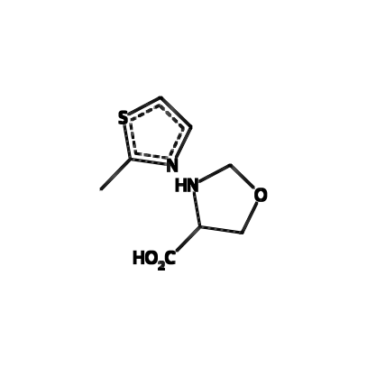 Cc1nccs1.O=C(O)C1COCN1